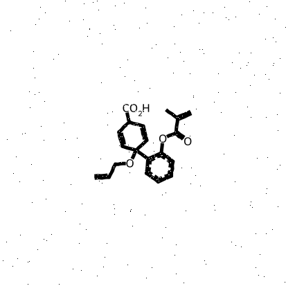 C=CCOC1(c2ccccc2OC(=O)C(=C)C)C=CC(C(=O)O)C=C1